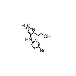 Cn1cc(Nc2ncc(Br)cn2)c(CCO)n1